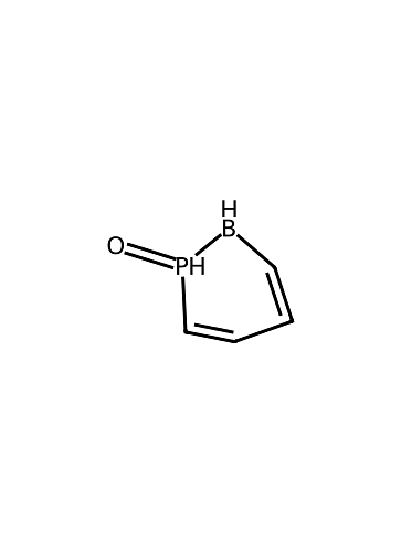 O=[PH]1BC=CC=C1